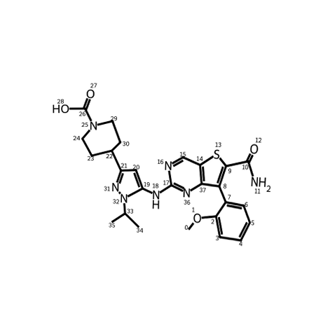 COc1ccccc1-c1c(C(N)=O)sc2cnc(Nc3cc(C4CCN(C(=O)O)CC4)nn3C(C)C)nc12